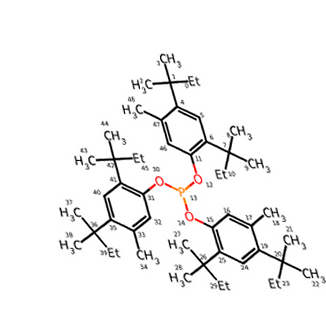 CCC(C)(C)c1cc(C(C)(C)CC)c(OP(Oc2cc(C)c(C(C)(C)CC)cc2C(C)(C)CC)Oc2cc(C)c(C(C)(C)CC)cc2C(C)(C)CC)cc1C